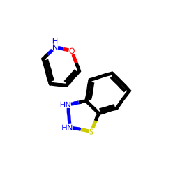 C1=CNOC=C1.c1ccc2c(c1)NNS2